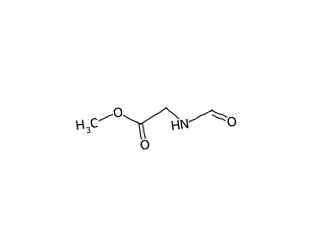 COC(=O)CNC=O